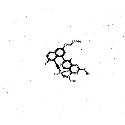 CCSc1nc(OC(C)(C)C)c2cnc(-c3cc(OCOC)cc4ccc(F)c(C#C[Si](C(C)C)(C(C)C)C(C)C)c34)c(F)c2n1